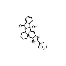 CN(C(=O)O)c1nc2cc(C3(O)c4ccccc4C(=O)N3C3CCCCC3)ccc2[nH]1